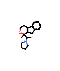 CC(N1CCCC1)C1(C)OCCC2=C1Cc1ccccc12